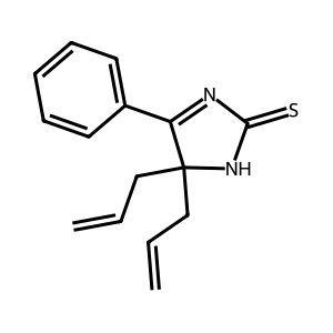 C=CCC1(CC=C)NC(=S)N=C1c1ccccc1